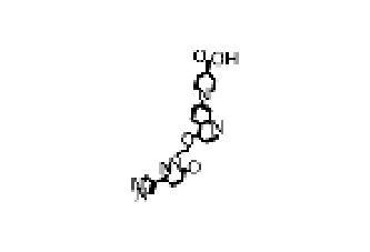 Cn1cc(-c2ccc(=O)n(CCOc3ccnc4cc(N5CCC(C(=O)O)CC5)ccc34)n2)cn1